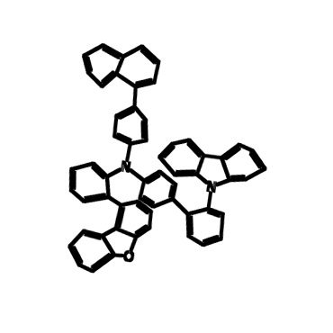 c1ccc(N(c2ccc(-c3ccccc3-n3c4ccccc4c4ccccc43)cc2)c2ccc(-c3cccc4ccccc34)cc2)c(-c2cccc3oc4ccccc4c23)c1